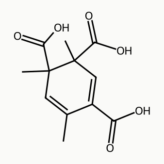 CC1=CC(C)(C(=O)O)C(C)(C(=O)O)C=C1C(=O)O